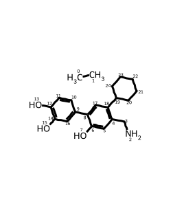 CC.NCc1cc(O)c(-c2ccc(O)c(O)c2)cc1C1CCCCC1